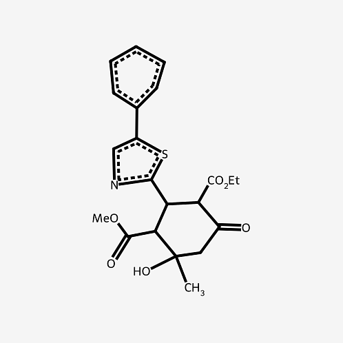 CCOC(=O)C1C(=O)CC(C)(O)C(C(=O)OC)C1c1ncc(-c2ccccc2)s1